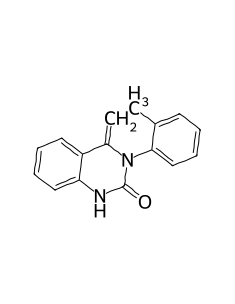 C=C1c2ccccc2NC(=O)N1c1ccccc1C